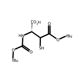 CC(C)(C)OC(=O)N[C@H](C(=O)O)C(S)C(=O)OC(C)(C)C